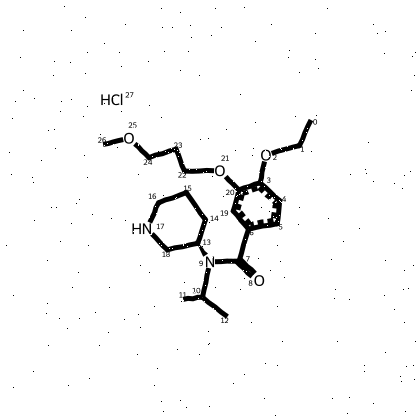 CCOc1ccc(C(=O)N(C(C)C)[C@@H]2CCCNC2)cc1OCCCOC.Cl